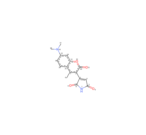 Cc1c(C2=CC(=O)NC2=O)c(=O)oc2cc(N(C)C)ccc12